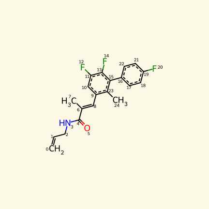 C=CCNC(=O)/C(C)=C/c1cc(F)c(F)c(-c2ccc(F)cc2)c1C